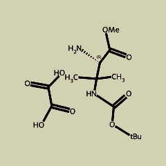 COC(=O)[C@@H](N)C(C)(C)NC(=O)OC(C)(C)C.O=C(O)C(=O)O